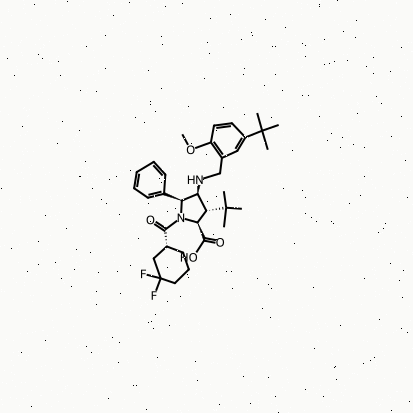 COc1ccc(C(C)(C)C)cc1CN[C@H]1[C@H](C(C)(C)C)[C@@H](C(=O)O)N(C(=O)[C@@H]2CCCC(F)(F)C2)[C@H]1c1ccccc1